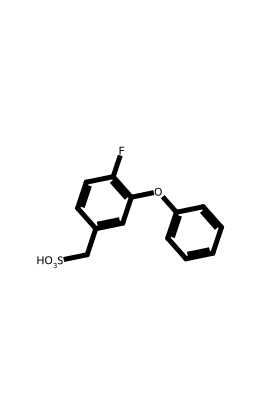 O=S(=O)(O)Cc1ccc(F)c(Oc2ccccc2)c1